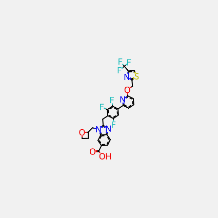 O=C(O)c1ccc2nc(Cc3c(F)cc(-c4cccc(OCc5nc(C(F)(F)F)cs5)n4)c(F)c3F)n(CC3CCO3)c2c1